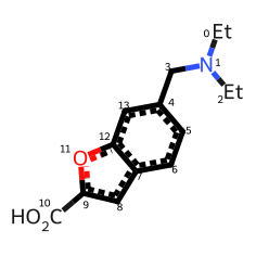 CCN(CC)Cc1ccc2cc(C(=O)O)oc2c1